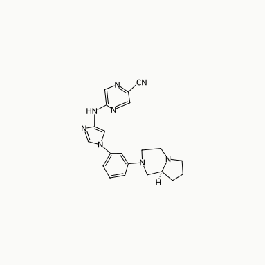 N#Cc1cnc(Nc2cn(-c3cccc(N4CCN5CCC[C@H]5C4)c3)cn2)cn1